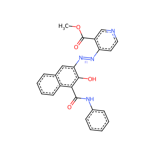 COC(=O)c1cnccc1/N=N/c1cc2ccccc2c(C(=O)Nc2ccccc2)c1O